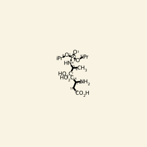 CC(C)OP(=O)(NC(C)C(=O)O)OC(C)C.NC(CC(=O)O)C(=O)O